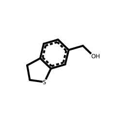 OCc1ccc2c(c1)SCC2